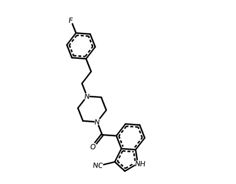 N#Cc1c[nH]c2cccc(C(=O)N3CCN(CCc4ccc(F)cc4)CC3)c12